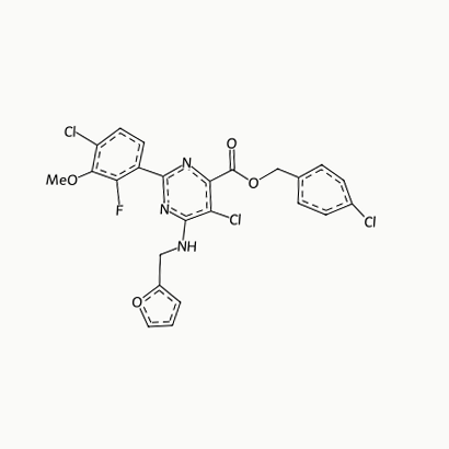 COc1c(Cl)ccc(-c2nc(NCc3ccco3)c(Cl)c(C(=O)OCc3ccc(Cl)cc3)n2)c1F